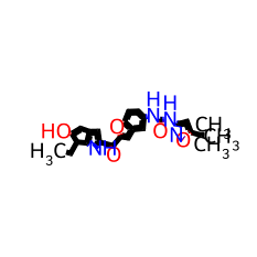 CCC1C(O)=Cc2cc(C(=O)c3cc4cc(NC(=O)Nc5cc(C(C)(C)C)on5)ccc4o3)[nH]c21